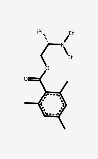 CCN(CC)[C@H](COC(=O)c1c(C)cc(C)cc1C)C(C)C